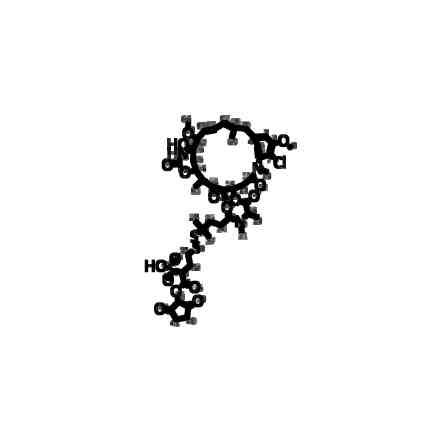 COc1cc2cc(c1Cl)N(C)C(=O)CC(OC(=O)C(C)N(C)C(=O)CCC(C)(C)SSCCC(C(=O)OC1C(=O)CCC1=O)S(=O)(=O)O)C1(C)OC1C(C)C1CC(O)(NC(=O)O1)C(OC)/C=C/C=C(\C)C2